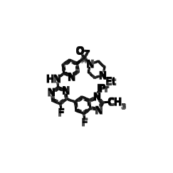 CCN1CCN([C@@]2(c3ccc(Nc4ncc(F)c(-c5cc(F)c6nc(C)n(C(C)C)c6c5)n4)nc3)CO2)CC1